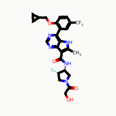 Cc1[nH]c2c(-c3cc(C(F)(F)F)ccc3OCC3CC3)ncnc2c1C(=O)N[C@@H]1CN(C(=O)CO)C[C@@H]1F